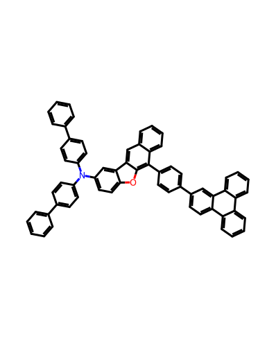 c1ccc(-c2ccc(N(c3ccc(-c4ccccc4)cc3)c3ccc4oc5c(-c6ccc(-c7ccc8c9ccccc9c9ccccc9c8c7)cc6)c6ccccc6cc5c4c3)cc2)cc1